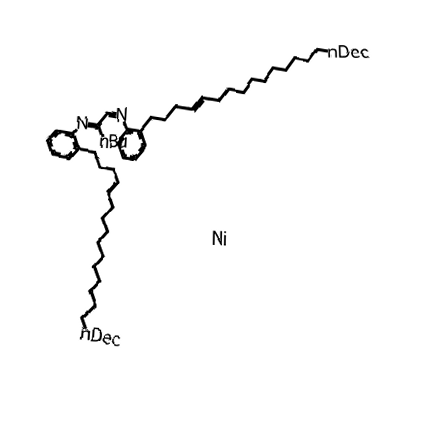 CCCCCCCCCCCCCCCCCCCC/C=C/CCCc1ccccc1/N=C\C(CCCC)=N\c1ccccc1CCC/C=C/CCCCCCCCCCCCCCCCCCCC.[Ni]